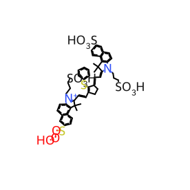 CC1(C)C(=CC=C2CCC(C=CC3=[N+](CCCS(=O)(=O)O)c4ccc5cc(SOOO)ccc5c4C3(C)C)=C2Sc2ccccc2)N(CCCS(=O)(=O)O)c2ccc3cc(S(=O)(=O)O)ccc3c21